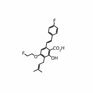 CC(C)=CCc1c(OCCF)cc(C=Cc2ccc(F)cc2)c(C(=O)O)c1O